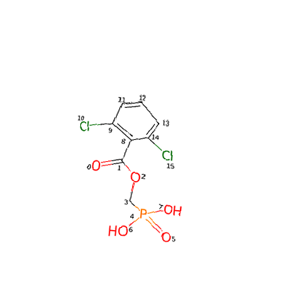 O=C(OCP(=O)(O)O)c1c(Cl)cccc1Cl